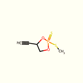 C#CC1COP(=S)(SC)O1